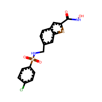 O=C(NO)c1cc2ccc(CNS(=O)(=O)c3ccc(Cl)cc3)cc2s1